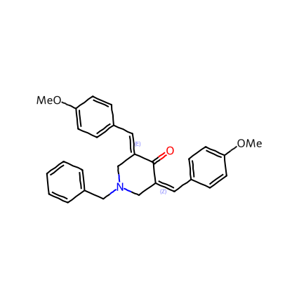 COc1ccc(/C=C2/CN(Cc3ccccc3)C/C(=C\c3ccc(OC)cc3)C2=O)cc1